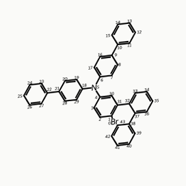 Brc1ccc(N(c2ccc(-c3ccccc3)cc2)c2ccc(-c3ccccc3)cc2)cc1-c1ccccc1-c1ccccc1